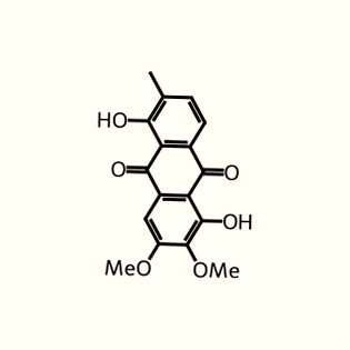 COc1cc2c(c(O)c1OC)C(=O)c1ccc(C)c(O)c1C2=O